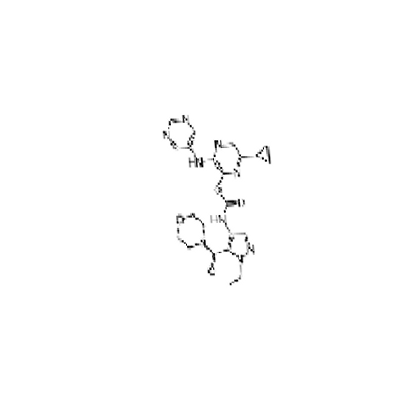 CCn1ncc(NC(=O)Oc2nc(C3CC3)cnc2Nc2cncnc2)c1C(=O)N1CCOCC1